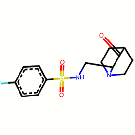 O=C1C2CCN(CC2)C1CNS(=O)(=O)c1ccc(F)cc1